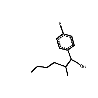 CCCCC(C)C(O)c1ccc(F)cc1